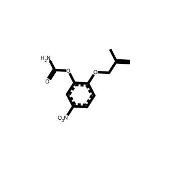 C=C(C)COc1ccc([N+](=O)[O-])cc1OC(N)=O